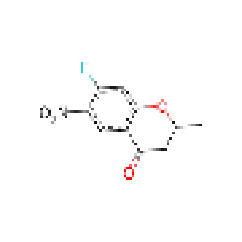 CC1CC(=O)c2cc([N+](=O)[O-])c(F)cc2O1